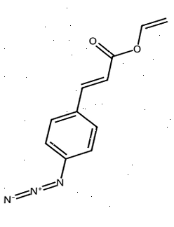 C=COC(=O)/C=C/c1ccc(N=[N+]=[N-])cc1